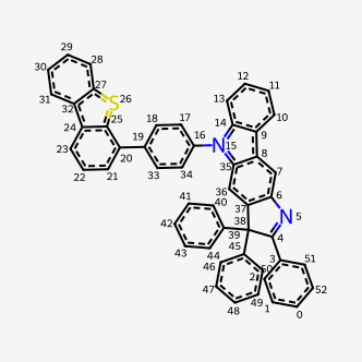 c1ccc(C2=Nc3cc4c5ccccc5n(-c5ccc(-c6cccc7c6sc6ccccc67)cc5)c4cc3C2(c2ccccc2)c2ccccc2)cc1